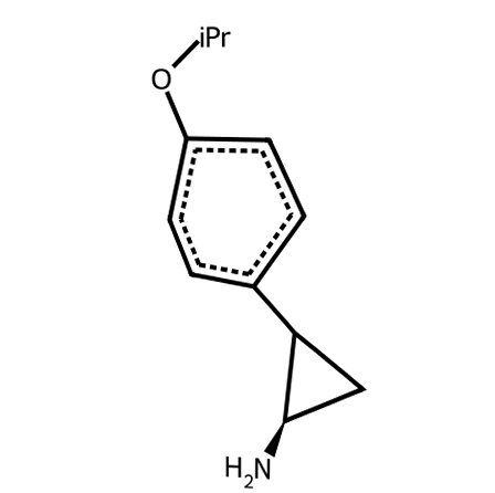 CC(C)Oc1ccc(C2C[C@H]2N)cc1